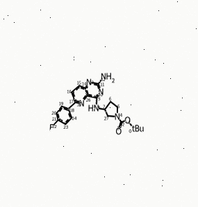 CC(C)(C)OC(=O)N1CCC(Nc2nc(N)nc3ccc(-c4ccc(F)cc4)nc23)C1